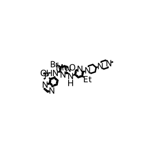 CCc1cc(Nc2ncc(Br)c(Nc3ccc4nccnc4c3P(C)(C)=O)n2)c(OC)nc1N1CCC(N2CCN(C)CC2)CC1